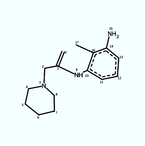 C=C(CN1CCCCC1)Nc1cccc(N)c1C